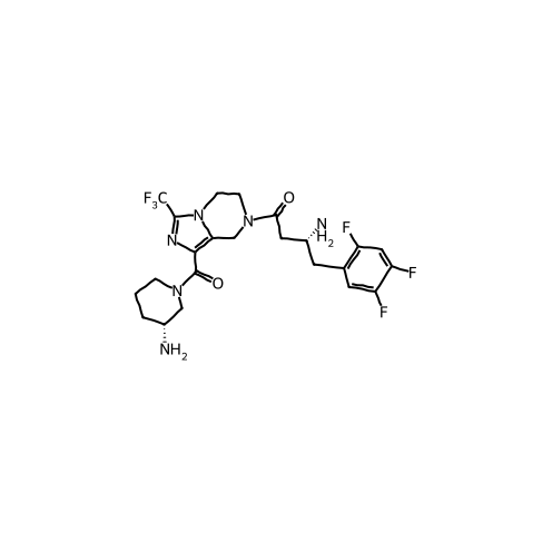 N[C@@H]1CCCN(C(=O)c2nc(C(F)(F)F)n3c2CN(C(=O)C[C@H](N)Cc2cc(F)c(F)cc2F)CC3)C1